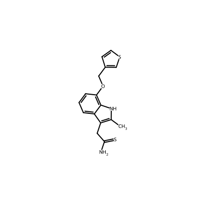 Cc1[nH]c2c(OCc3ccsc3)cccc2c1CC(N)=S